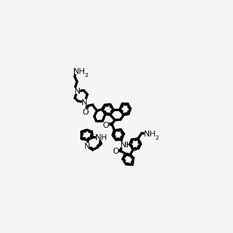 C1=CNc2ccccc2N=C1.NCCCN1CCN(C(=O)CC2CCCc3c2ccc2c3C(C(=O)c3ccc(NC(=O)c4ccccc4-c4ccc(CN)cc4)cc3)Cc3ccccc3-2)CC1